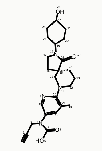 C#CCN(C(=O)O)c1cnc(N2CCC[C@@]3(CCN(C4CCC(O)CC4)C3=O)C2)c(C)c1